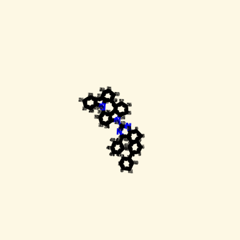 c1ccc(-c2ccc3ccc4nc(-n5c6cccc7c8cccc9c%10ccccc%10n(c%10cccc5c%10c76)c89)nc(-c5ccccc5)c4c3c2)cc1